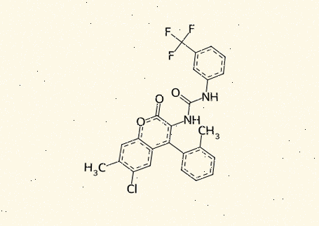 Cc1cc2oc(=O)c(NC(=O)Nc3cccc(C(F)(F)F)c3)c(-c3ccccc3C)c2cc1Cl